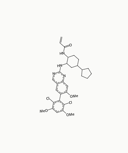 C=CC(=O)NC1CCC(C2CCCC2)CC1Nc1ncc2cc(-c3c(Cl)c(OC)cc(OC)c3Cl)c(OC)cc2n1